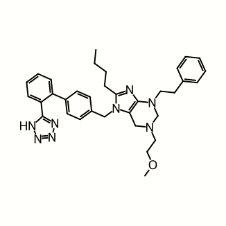 CCCCc1nc2c(n1Cc1ccc(-c3ccccc3-c3nnn[nH]3)cc1)CN(CCOC)CN2CCc1ccccc1